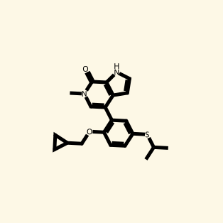 CC(C)Sc1ccc(OCC2CC2)c(-c2cn(C)c(=O)c3[nH]ccc23)c1